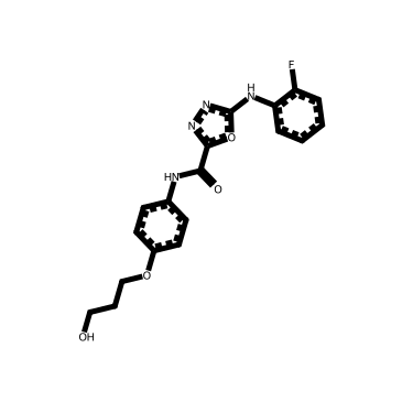 O=C(Nc1ccc(OCCCO)cc1)c1nnc(Nc2ccccc2F)o1